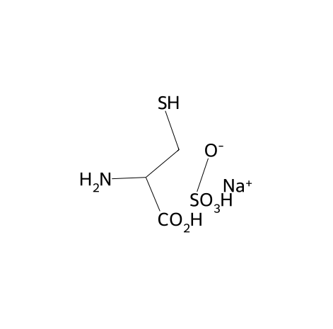 NC(CS)C(=O)O.O=S(=O)([O-])O.[Na+]